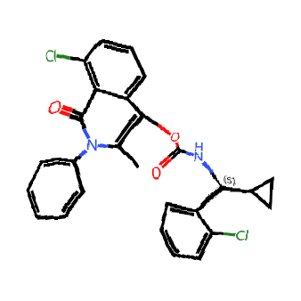 Cc1c(OC(=O)N[C@H](c2ccccc2Cl)C2CC2)c2cccc(Cl)c2c(=O)n1-c1ccccc1